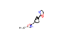 CC1CN=C(c2ccc(C3=NCCO3)cc2)O1